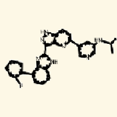 CC(C)Nc1cncc(-c2ccc3[nH]nc(-c4nc5c(-c6ccccc6F)cccc5[nH]4)c3n2)c1